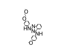 COCCOc1ccc(Nc2nc(Nc3ccc(OC)cc3)c3ccccc3n2)cc1